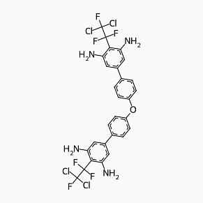 Nc1cc(-c2ccc(Oc3ccc(-c4cc(N)c(C(F)(F)C(F)(Cl)Cl)c(N)c4)cc3)cc2)cc(N)c1C(F)(F)C(F)(Cl)Cl